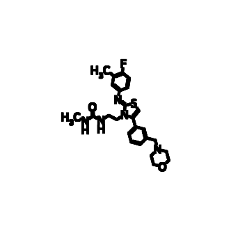 CNC(=O)NCCn1c(-c2cccc(CN3CCOCC3)c2)csc1=Nc1ccc(F)c(C)c1